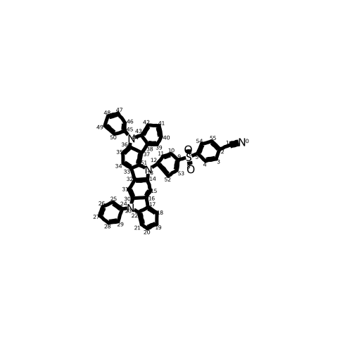 N#Cc1ccc(S(=O)(=O)c2ccc(-n3c4cc5c6ccccc6n(-c6ccccc6)c5cc4c4ccc5c(c6ccccc6n5-c5ccccc5)c43)cc2)cc1